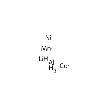 [AlH3].[Co].[LiH].[Mn].[Ni]